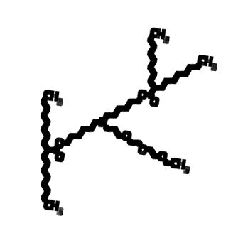 CCCCCCCCC(CCCCCCCC)C(=O)OCCCCCCN(CCCCCCOC(=O)C(CCCCCCCC)CCCCCCCC)CCCOCCOCCOCC